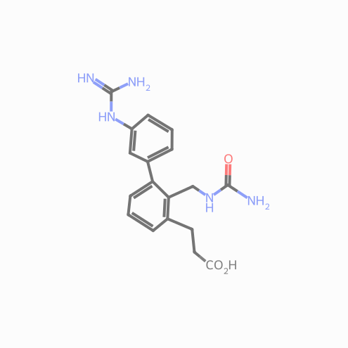 N=C(N)Nc1cccc(-c2cccc(CCC(=O)O)c2CNC(N)=O)c1